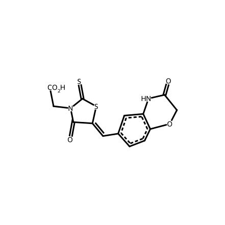 O=C(O)CN1C(=O)C(=Cc2ccc3c(c2)NC(=O)CO3)SC1=S